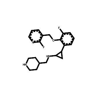 Fc1cccc(C2CC2NCC2CCNCC2)c1OCc1cccnc1F